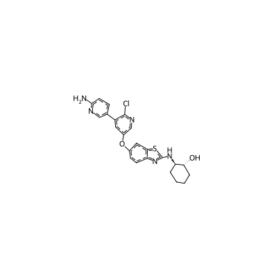 Nc1ccc(-c2cc(Oc3ccc4nc(N[C@@H]5CCCC[C@H]5O)sc4c3)cnc2Cl)cn1